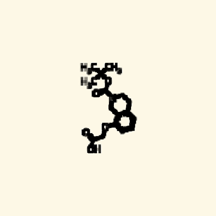 CC(C)(C)OC(=O)N1CCc2cccc(OCC(=O)O)c2C1